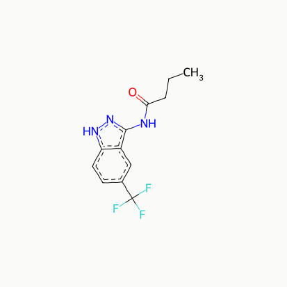 CCCC(=O)Nc1n[nH]c2ccc(C(F)(F)F)cc12